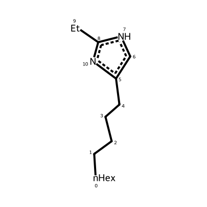 CCCCCCCCCCc1c[nH]c(CC)n1